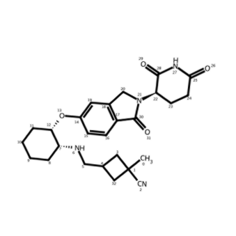 CC1(C#N)CC(CN[C@@H]2CCCC[C@@H]2Oc2ccc3c(c2)CN([C@@H]2CCC(=O)NC2=O)C3=O)C1